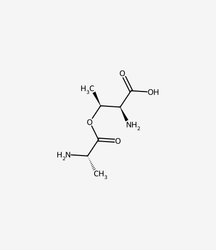 C[C@H](N)C(=O)O[C@@H](C)[C@H](N)C(=O)O